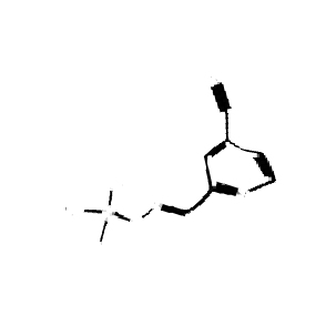 C[Si](C)(C)ON=Cc1cc(C#N)ccn1